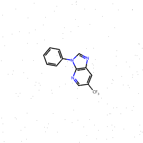 FC(F)(F)c1cnc2c(c1)ncn2-c1ccccc1